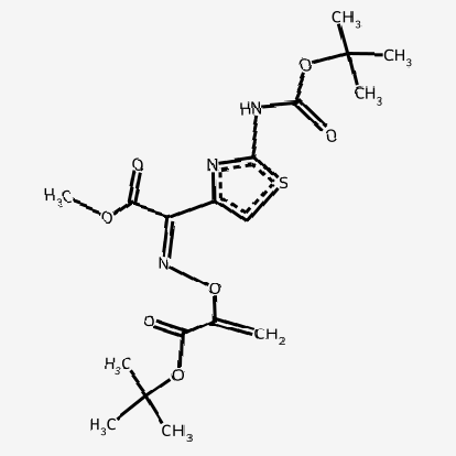 C=C(O/N=C(/C(=O)OC)c1csc(NC(=O)OC(C)(C)C)n1)C(=O)OC(C)(C)C